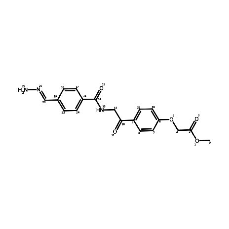 COC(=O)COc1ccc(C(=O)CNC(=O)c2ccc(C=NN)cc2)cc1